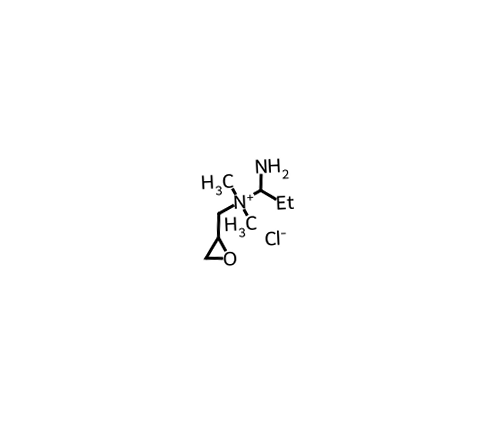 CCC(N)[N+](C)(C)CC1CO1.[Cl-]